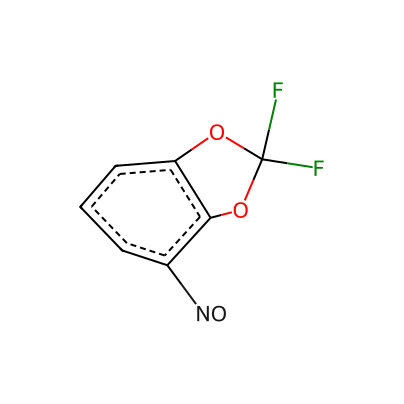 O=Nc1cccc2c1OC(F)(F)O2